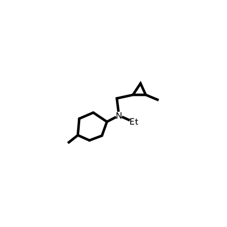 CCN(CC1CC1C)C1CCC(C)CC1